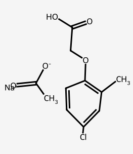 CC(=O)[O-].Cc1cc(Cl)ccc1OCC(=O)O.[Na+]